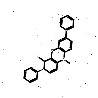 CC1C2=C(C=C[C@H]1c1ccccc1)N(C)c1ccc(-c3ccccc3)cc1S2